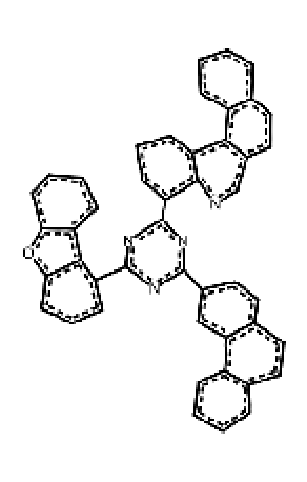 c1ccc2c(c1)ccc1ccc(-c3nc(-c4cccc5c4ncc4ccc6ccccc6c45)nc(-c4cccc5oc6ccccc6c45)n3)cc12